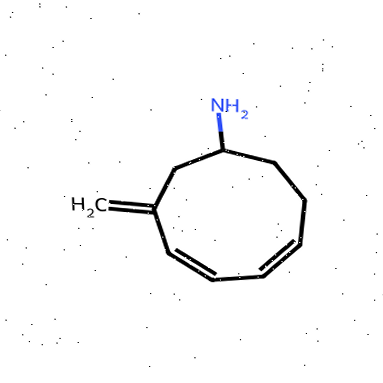 C=C1/C=C\C=C/CCC(N)C1